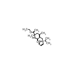 C=C(OCC)C1(C)CC(C)=C(C[N+]2(C(C)C)C=CC=N2)C(=O)N1